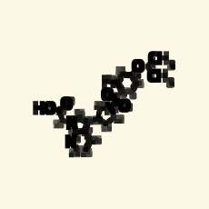 CC(C)Oc1ccc(S(=O)(=O)N2CCC(c3cn(CC(=O)O)c4ncccc34)C2)c(F)c1